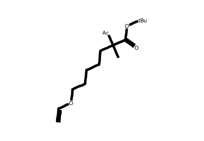 C=COCCCCCC(C)(C(C)=O)C(=O)OC(C)(C)C